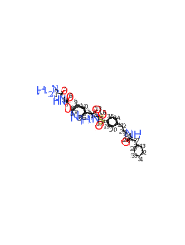 NCC(=O)NC(=O)Oc1ccc(C(=O)NS(=O)(=O)c2ccc(CCNC(=O)CC3CCCCC3)cc2)cn1